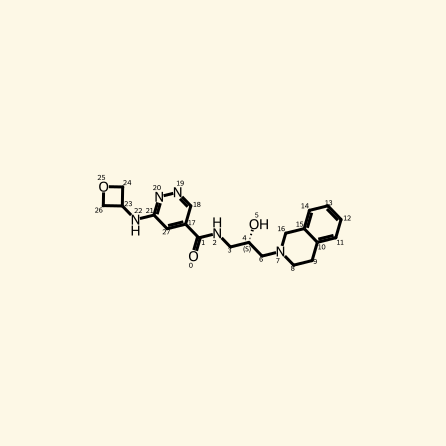 O=C(NC[C@H](O)CN1CCc2ccccc2C1)c1cnnc(NC2COC2)c1